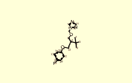 CC(C)(C)C(COCn1cncn1)COc1ccc(F)cc1